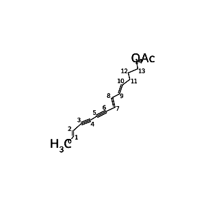 CC=CC#CC#CC=CC=CCCCOC(C)=O